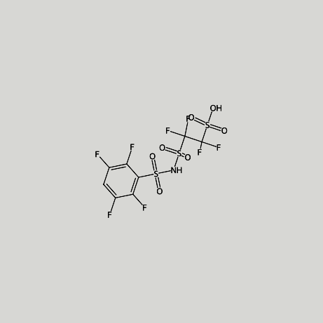 O=S(=O)(NS(=O)(=O)C(F)(F)C(F)(F)S(=O)(=O)O)c1c(F)c(F)cc(F)c1F